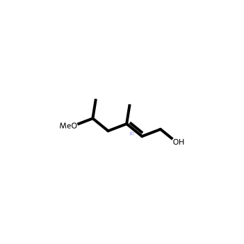 COC(C)C/C(C)=C/CO